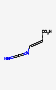 N=C=NC=CC(=O)O